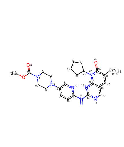 CC(C)(C)OC(=O)N1CCN(c2ccc(Nc3ncc4cc(C(=O)O)c(=O)n(C5CCCC5)c4n3)nc2)CC1